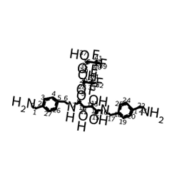 NCc1ccc(CNC(=O)[C@@H](O)[C@H](O)C(=O)NCc2ccc(CN)cc2)cc1.O=C(O)C(F)(F)F.O=C(O)C(F)(F)F